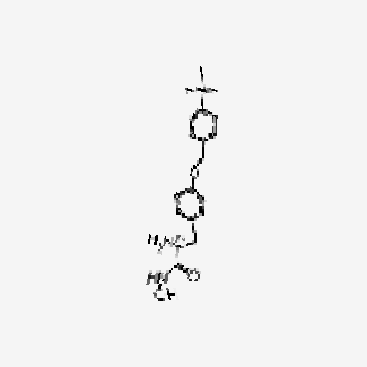 CC(C)(C)c1ccc(COc2ccc(C[C@H](N)C(=O)NO)cc2)cc1